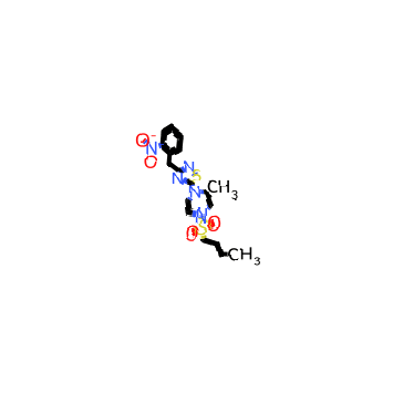 CCCCS(=O)(=O)N1CCN(c2nc(Cc3ccccc3[N+](=O)[O-])ns2)C(C)C1